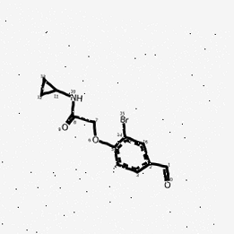 O=Cc1ccc(OCC(=O)NC2CC2)c(Br)c1